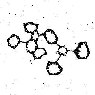 c1ccc(-c2nc(-c3ccccc3)nc(-c3cccc(-n4c5ccccc5c5c(-c6ccccc6)nc6ccccc6c54)c3)n2)cc1